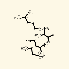 CC(O)C(N)C(=O)O.CSCCC(N)C(=O)O.NCCCC(N)C(=O)O.O=C(O)CCC(=O)O